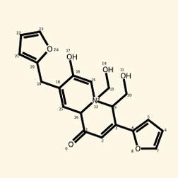 O=C1C=C(c2ccco2)C(CO)[N+]2(CO)C=C(O)C(Cc3ccco3)=CC12